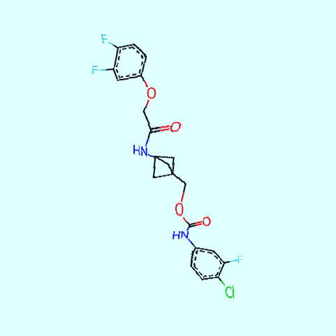 O=C(COc1ccc(F)c(F)c1)NC12CC(COC(=O)Nc3ccc(Cl)c(F)c3)(C1)C2